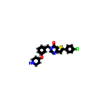 O=c1c2sc(-c3ccc(Cl)cc3)cc2ncn1Cc1cccc(OC2CCNCC2)c1